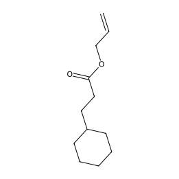 C=CCOC(=O)CCC1CCCCC1